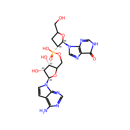 Nc1ncnc2c1ccn2[C@@H]1OC(COP(=O)(O)[C@@H]2CC(CO)O[C@H]2n2cnc3c(=O)[nH]cnc32)[C@@H](O)[C@H]1O